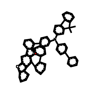 CC1(C)c2ccccc2-c2ccc(N(c3ccc(-c4ccccc4)cc3)c3ccc(-c4cccc5c4oc4c(-c6ccccc6-c6ccccc6)c6c(cc45)oc4ccccc46)cc3)cc21